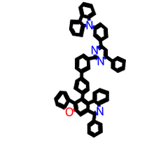 c1ccc(-c2cc(-c3cccc(-n4c5ccccc5c5ccccc54)c3)nc(-c3cccc(-c4ccc(-c5c6c(cc7c(-c8ccccc8)nc8ccccc8c57)oc5ccccc56)cc4)c3)n2)cc1